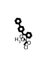 CN(C(=O)CCl)c1ccccc1C(=O)c1ccc(-c2ccccc2)cc1